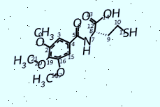 COc1cc(C(=O)N[C@@H](CCS)C(=O)O)cc(OC)c1OC